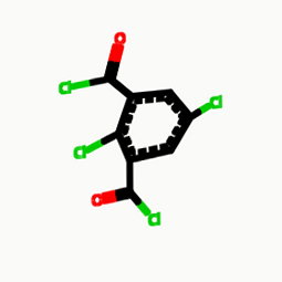 O=C(Cl)c1cc(Cl)cc(C(=O)Cl)c1Cl